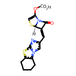 O=C(O)OC1=CS[C@@H]2/C(=C\c3cn4c5c(sc4n3)CCCC5)C(=O)N12